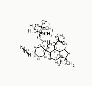 C=C1CCC2[C@H](OC(C)=O)C([C@@]3(C)CC[C@H](N=[N+]=[N-])C[C@@H]3CO[Si](C)(C)C(C)(C)C)CC[C@]12C